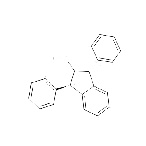 O=C(O)C1[C@H](c2ccccc2)c2ccccc2[C@H]1c1ccccc1